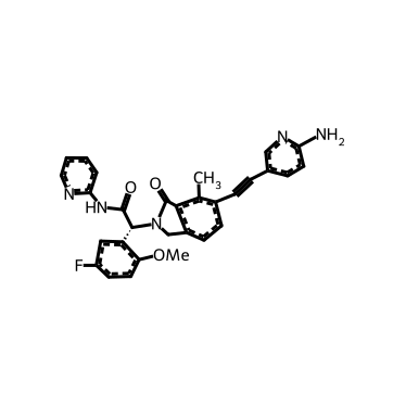 COc1ccc(F)cc1[C@H](C(=O)Nc1ccccn1)N1Cc2ccc(C#Cc3ccc(N)nc3)c(C)c2C1=O